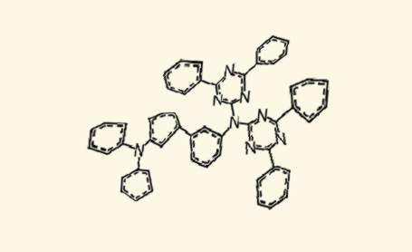 c1ccc(-c2nc(-c3ccccc3)nc(N(c3cccc(-c4cccc(N(c5ccccc5)c5ccccc5)c4)c3)c3nc(-c4ccccc4)nc(-c4ccccc4)n3)n2)cc1